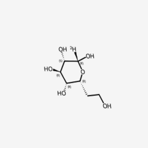 [2H][C@@]1(O)O[C@H](CCO)[C@H](O)[C@@H](O)[C@@H]1O